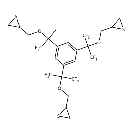 CC(OCC1CS1)(c1cc(C(OCC2CS2)(C(F)(F)F)C(F)(F)F)cc(C(OCC2CS2)(C(F)(F)F)C(F)(F)F)c1)C(F)(F)F